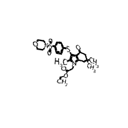 CCOC(=O)Cn1c(C)c(Sc2ccc(S(=O)(=O)N3CCOCC3)cc2)c2c1CC(C)(C)CC2=O